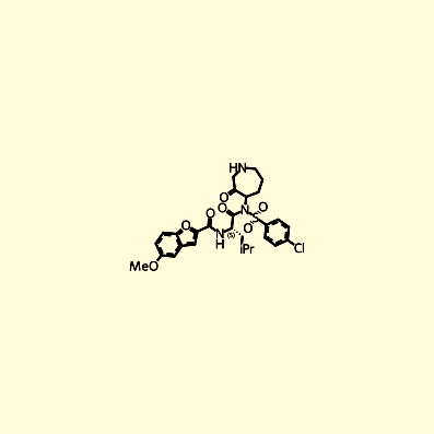 COc1ccc2oc(C(=O)N[C@@H](CC(C)C)C(=O)N(C3CCCNCC3=O)S(=O)(=O)c3ccc(Cl)cc3)cc2c1